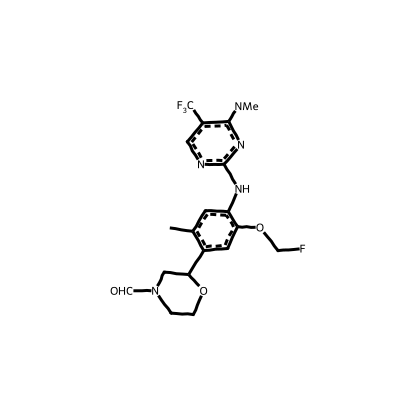 CNc1nc(Nc2cc(C)c(C3CN(C=O)CCO3)cc2OCF)ncc1C(F)(F)F